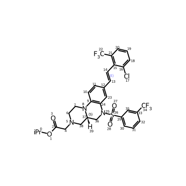 CC(C)OC(=O)CN1CCN2c3ccc(/C=C/c4c(Cl)cccc4C(F)(F)F)cc3N(S(=O)(=O)c3cccc(C(F)(F)F)c3)C[C@@H]2C1